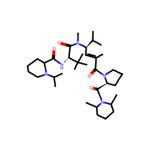 C/C(=C\[C@H](C(C)C)N(C)C(=O)[C@@H](NC(=O)C1CCCCN1C(C)C)C(C)(C)C)C(=O)N1CCC[C@H]1C(=O)N1C(C)CCCC1C